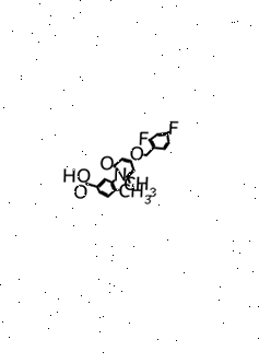 Cc1ccc(C(=O)O)cc1-n1c(C)cc(OCc2ccc(F)cc2F)cc1=O